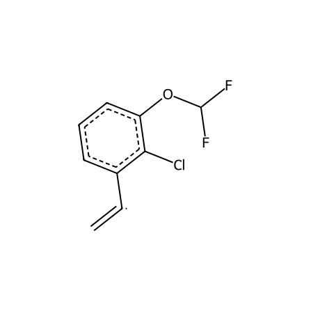 C=[C]c1cccc(OC(F)F)c1Cl